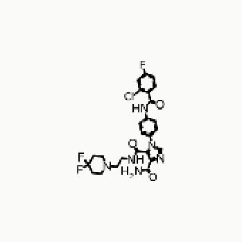 NC(=O)c1ncn(-c2ccc(NC(=O)c3ccc(F)cc3Cl)cc2)c1C(=O)NCCN1CCC(F)(F)CC1